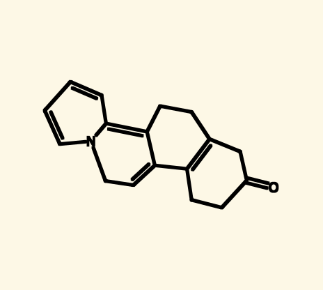 O=C1CCC2=C(CCC3=C4C=CC=CN4CC=C23)C1